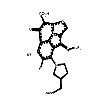 CN=c1c2c(N3CCC(CNC)C3)c(F)cc3c(=O)c(C(=O)O)c4scc1n4c32.Cl